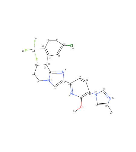 COc1nc(-c2cn3c(n2)[C@@H](c2cc(Cl)ccc2C(F)(F)F)CCC3)ccc1-n1cnc(C)c1